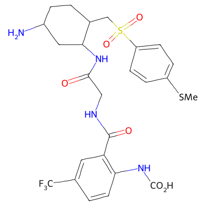 CSc1ccc(S(=O)(=O)CC2CCC(N)CC2NC(=O)CNC(=O)c2cc(C(F)(F)F)ccc2NC(=O)O)cc1